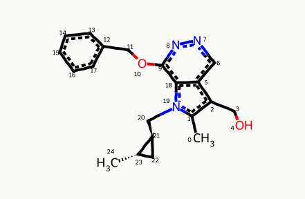 Cc1c(CO)c2cnnc(OCc3ccccc3)c2n1C[C@H]1C[C@@H]1C